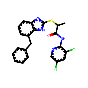 CC(Sc1nc2cccc(Cc3ccccc3)c2[nH]1)C(=O)Nc1ncc(Cl)cc1Cl